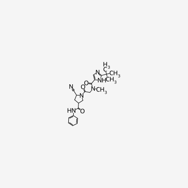 CN(CC(=O)N1CC(C(=O)Nc2ccccc2)CC1C#N)C(=O)c1cnc(C(C)(C)C)[nH]1